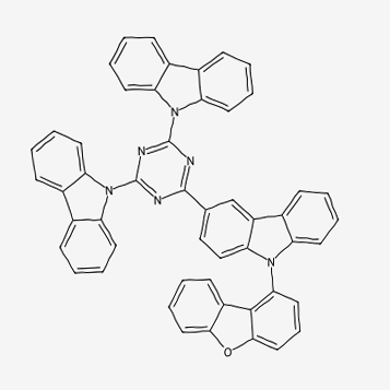 c1ccc2c(c1)oc1cccc(-n3c4ccccc4c4cc(-c5nc(-n6c7ccccc7c7ccccc76)nc(-n6c7ccccc7c7ccccc76)n5)ccc43)c12